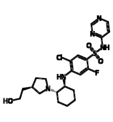 O=S(=O)(Nc1ccncn1)c1cc(Cl)c(N[C@H]2CCCC[C@@H]2N2CC[C@H](CCO)C2)cc1F